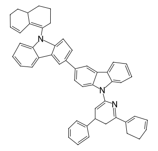 C1=CCCC(C2=NC(n3c4ccccc4c4cc(-c5ccc6c(c5)c5ccccc5n6C5=C6C=CCCC6CCC5)ccc43)=CC(c3ccccc3)C2)=C1